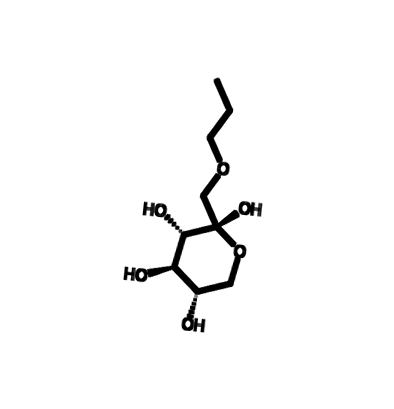 CCCOC[C@]1(O)OC[C@H](O)[C@@H](O)[C@@H]1O